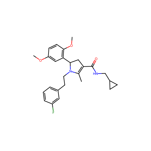 COc1ccc(OC)c(C2CC(C(=O)NCC3CC3)=C(C)N2CCc2cccc(F)c2)c1